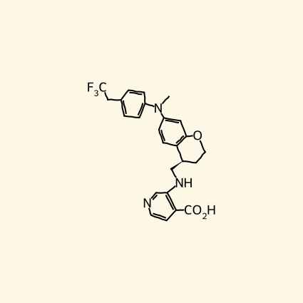 CN(c1ccc(CC(F)(F)F)cc1)c1ccc2c(c1)OCC[C@H]2CNc1cnccc1C(=O)O